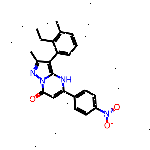 CCc1c(C)cccc1-c1c(C)nn2c(=O)cc(-c3ccc([N+](=O)[O-])cc3)[nH]c12